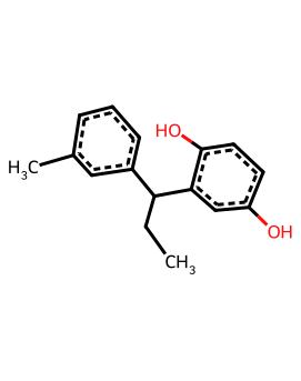 CCC(c1cccc(C)c1)c1cc(O)ccc1O